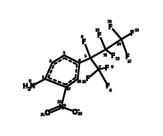 Nc1ccc(C(F)(C(F)(F)F)C(F)(F)C(F)(F)F)cc1[N+](=O)[O-]